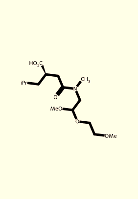 COCCOC(CN(C)C(=O)C[C@@H](CC(C)C)C(=O)O)OC